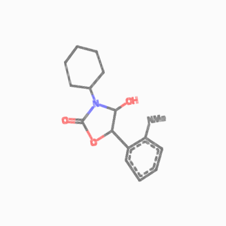 CNc1ccccc1C1OC(=O)N(C2CCCCC2)C1O